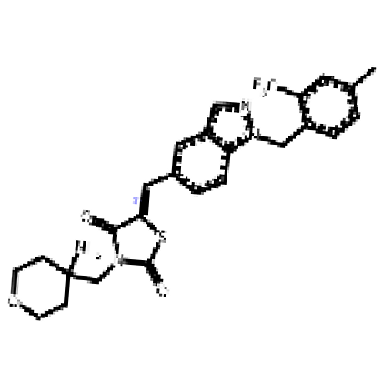 Cc1ccc(Cn2ncc3cc(/C=C4\SC(=O)N(CC5(N)CCOCC5)C4=O)ccc32)c(C(F)(F)F)c1